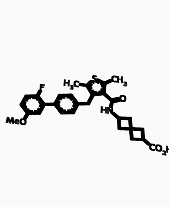 COc1ccc(F)c(-c2ccc(Cc3c(C)sc(C)c3C(=O)NC3CC4(C3)CC(C(=O)O)C4)cc2)c1